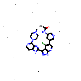 CCCCC(=O)Nc1cncc(-c2cnc3[nH]nc(-c4nc5c(N6CCN(C)CC6)nccc5[nH]4)c3c2F)c1